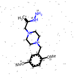 C=C(CN1CCN(Cc2cc(OC)ccc2OC)CC1)NN